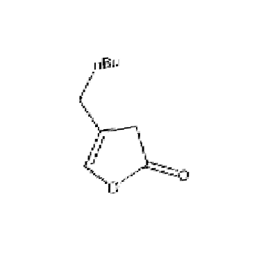 CCCCCC1=COC(=O)C1